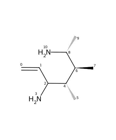 C=CC(N)[C@@H](C)[C@H](C)[C@@H](C)N